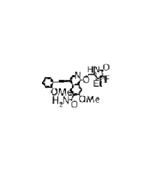 CC[C@@H]1[C@H](F)C(=O)N[C@@H]1COc1ncc(C#Cc2ccccc2OC)c2cc(C(N)=O)c(OC)cc12